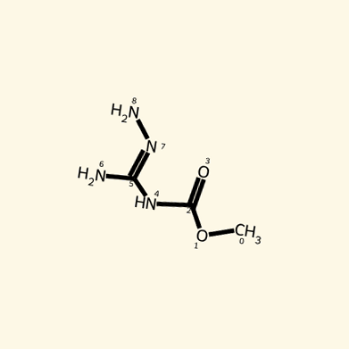 COC(=O)NC(N)=NN